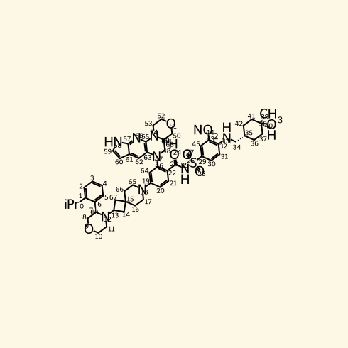 CC(C)c1ccccc1[C@@H]1COCCN1C1CC2(CCN(c3ccc(C(=O)NS(=O)(=O)c4ccc(NC[C@H]5CC[C@](C)(O)CC5)c([N+](=O)[O-])c4)c(N4C[C@H]5COCCN5c5nc6[nH]ccc6cc54)c3)CC2)C1